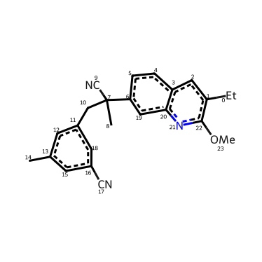 CCc1cc2ccc(C(C)(C#N)Cc3cc(C)cc(C#N)c3)cc2nc1OC